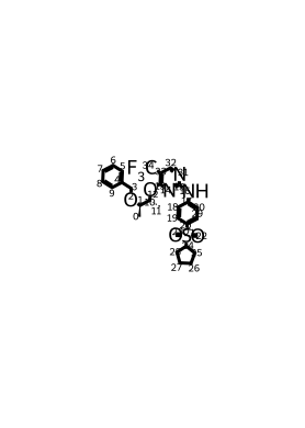 C[C@@H](OCc1ccccc1)[C@@H](C)Oc1nc(Nc2ccc(S(=O)(=O)C3CCCC3)cc2)ncc1C(F)(F)F